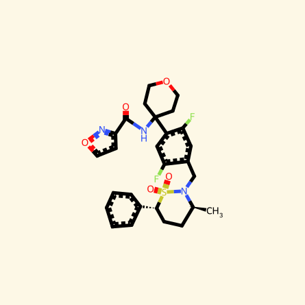 C[C@H]1CC[C@H](c2ccccc2)S(=O)(=O)N1Cc1cc(F)c(C2(NC(=O)c3ccon3)CCOCC2)cc1F